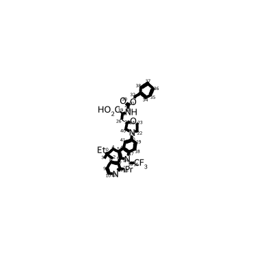 CCC(C)(C)Cc1c(-c2cccnc2C(C)C)n(CC(F)(F)F)c2ccc(N3CCO[C@@H](C[C@H](NC(=O)OCc4ccccc4)C(=O)O)C3)cc12